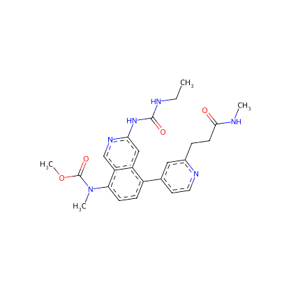 CCNC(=O)Nc1cc2c(-c3ccnc(CCC(=O)NC)c3)ccc(N(C)C(=O)OC)c2cn1